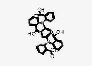 O=C(O)c1ccccc1N(c1ccc(N(c2ccccc2C(=O)O)c2ccccc2C(=O)O)cc1)c1ccccc1C(=O)O